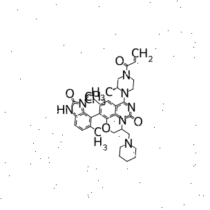 C=CC(=O)N1CCN(c2nc(=O)n3c4c(c(-c5c(C)ccc6[nH]c(=O)n(C)c56)c(Cl)cc24)OCC3CN2CCCCC2)[C@@H](C)C1